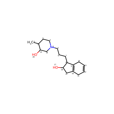 CC1CCN(CCCC2C3=C(CC=CC3)CC2O)CC1O